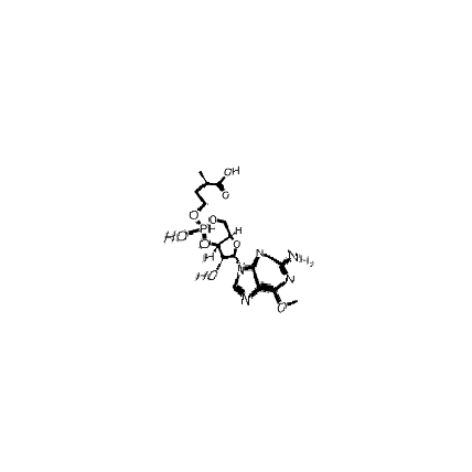 COc1nc(N)nc2c1ncn2[C@@H]1O[C@@H]2CO[PH](O)(OCC[C@@H](C)C(=O)O)O[C@H]2[C@@H]1O